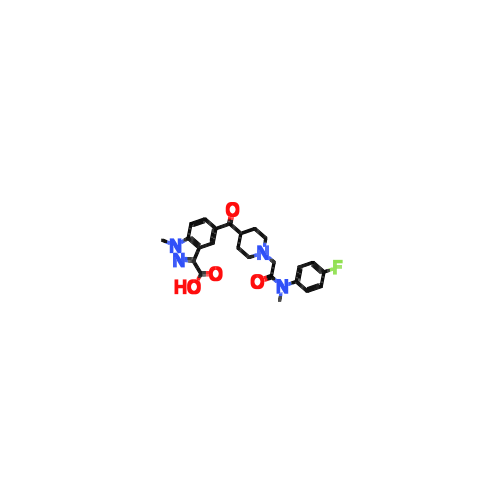 CN(C(=O)CN1CCC(C(=O)c2ccc3c(c2)c(C(=O)O)nn3C)CC1)c1ccc(F)cc1